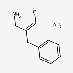 N.NCC(=CF)Cc1ccccc1